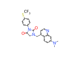 CN(C)c1ccc2c(CN3CC(=O)N(c4ccc(SC(F)(F)F)cc4)C3=O)ccnc2c1